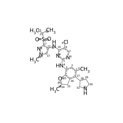 Cc1cc(Nc2ncc(Cl)c(Nc3cn(C)nc3S(=O)(=O)C(C)C)n2)c2c(c1C1CCNC1)C[C@@H](C)O2